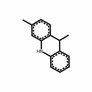 Cc1ccc2c(c1)Nc1ccccc1C2C